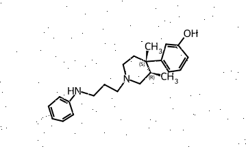 C[C@H]1CN(CCCNc2ccccc2)CC[C@]1(C)c1cccc(O)c1